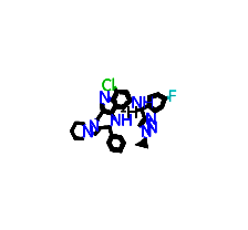 [2H]C(Nc1cc(Cl)c2ncc(C#N)c(NC(CCN3CCCCC3)c3ccccc3)c2c1)(c1ccc(F)cc1)c1cn(C2CC2)nn1